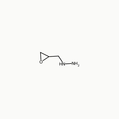 NNCC1CO1